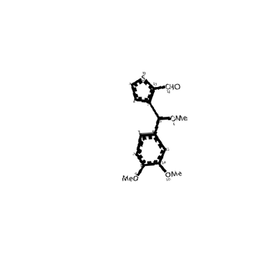 COc1ccc(C(OC)c2ccsc2C=O)cc1OC